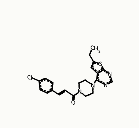 CCc1cc2c(N3CCN(C(=O)C=Cc4ccc(Cl)cc4)CC3)ncnc2s1